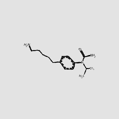 CC(C)N(C(N)=O)c1ccc(CCCCCN)cc1